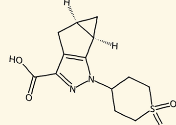 O=C(O)c1nn(C2CCS(=O)(=O)CC2)c2c1C[C@H]1C[C@@H]21